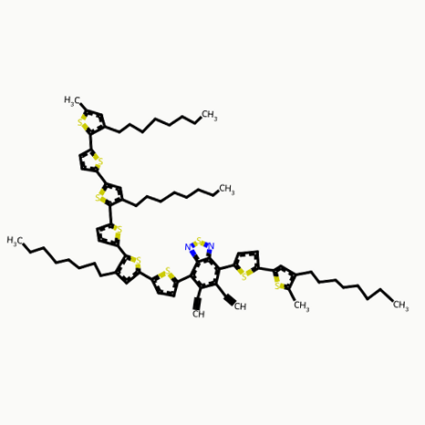 C#Cc1c(C#C)c(-c2ccc(-c3cc(CCCCCCCC)c(-c4ccc(-c5sc(-c6ccc(-c7sc(C)cc7CCCCCCCC)s6)cc5CCCCCCCC)s4)s3)s2)c2nsnc2c1-c1ccc(-c2cc(CCCCCCCC)c(C)s2)s1